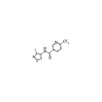 Cc1nscc1NC(=O)c1ccc(C(F)(F)F)nc1